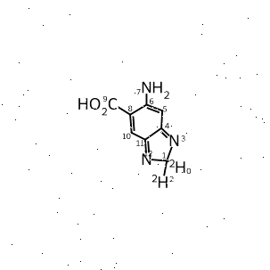 [2H]C1([2H])N=c2cc(N)c(C(=O)O)cc2=N1